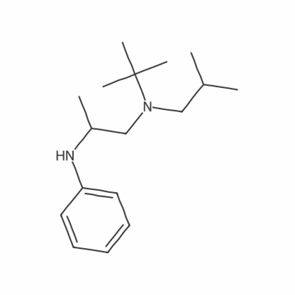 CC(C)CN(CC(C)Nc1ccccc1)C(C)(C)C